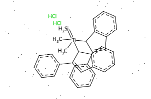 Cl.Cl.[CH3][Ti]([CH3])(=[SiH2])([CH]1C(c2ccccc2)=Cc2ccccc21)[CH]1C(c2ccccc2)=Cc2ccccc21